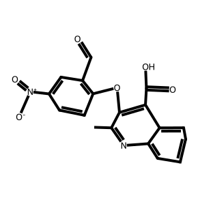 Cc1nc2ccccc2c(C(=O)O)c1Oc1ccc([N+](=O)[O-])cc1C=O